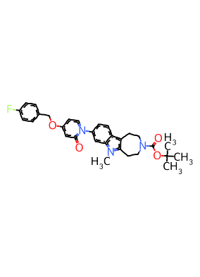 Cn1c2c(c3ccc(-n4ccc(OCc5ccc(F)cc5)cc4=O)cc31)CCN(C(=O)OC(C)(C)C)CC2